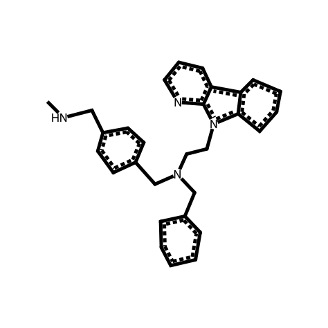 CNCc1ccc(CN(CCn2c3ccccc3c3cccnc32)Cc2ccccc2)cc1